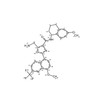 COc1ccc2c(c1)CCCC2NC(=O)c1nc(-c2ccc(OC)c3nc(C(F)(F)F)ccc23)oc1CN